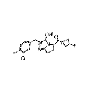 O=C(C1CCC2=NN(Cc3ccc(F)c(Cl)c3)C(O)N21)N1CC(F)C1